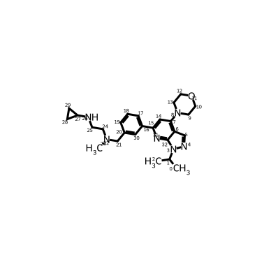 CC(C)n1ncc2c(N3CCOCC3)cc(-c3cccc(CN(C)CCNC4CC4)c3)nc21